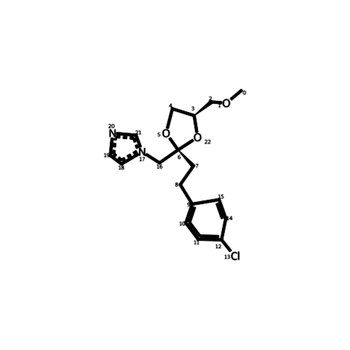 COC[C@@H]1CO[C@@](CCC2=C=C=C(Cl)C=C2)(Cn2ccnc2)O1